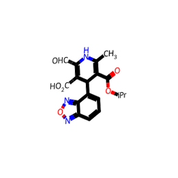 CC1=C(C(=O)OC(C)C)C(c2cccc3nonc23)C(C(=O)O)=C(C=O)N1